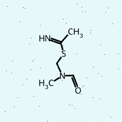 CC(=N)SCN(C)C=O